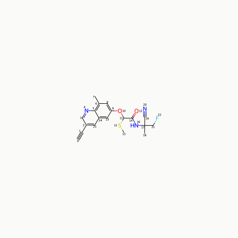 C#Cc1cnc2c(C)cc(OC(SC)C(=O)NC(C)(C#N)CF)cc2c1